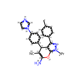 Cc1ccc(-c2nn(C(C)C)c3c2C(c2ccc(-n4ccnc4)cc2)C(C#N)=C(N)O3)cc1